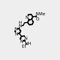 CCNc1ncc(-c2cc(NCCc3cccc4c(C(=O)NC)ccnc34)ncn2)cn1